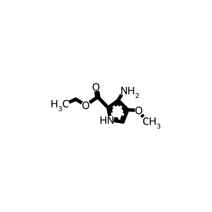 CCOC(=O)c1[nH]cc(OC)c1N